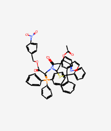 CC(=O)OC(c1ccon1)C1C(=O)N(C(C(=O)OCc2ccc([N+](=O)[O-])cc2)=P(c2ccccc2)(c2ccccc2)c2ccccc2)C1SC(c1ccccc1)(c1ccccc1)c1ccccc1